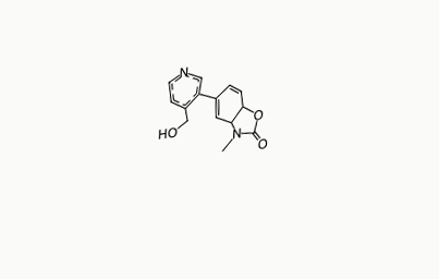 CN1C(=O)OC2C=CC(c3cnccc3CO)=CC21